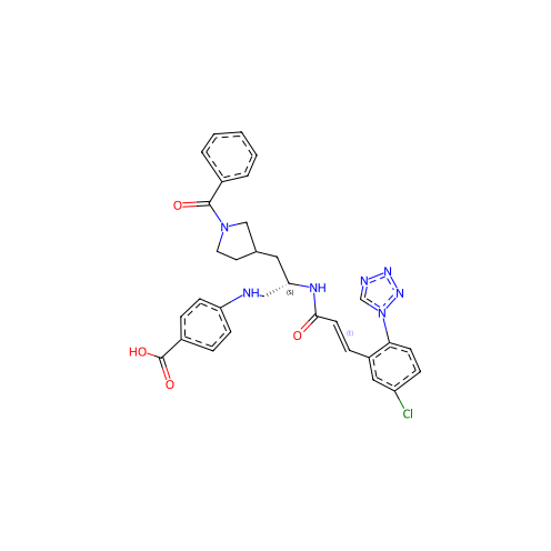 O=C(/C=C/c1cc(Cl)ccc1-n1cnnn1)N[C@H](CNc1ccc(C(=O)O)cc1)CC1CCN(C(=O)c2ccccc2)C1